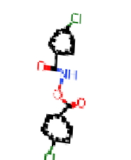 O=C(NOC(=O)c1ccc(Cl)cc1)c1ccc(Cl)cc1